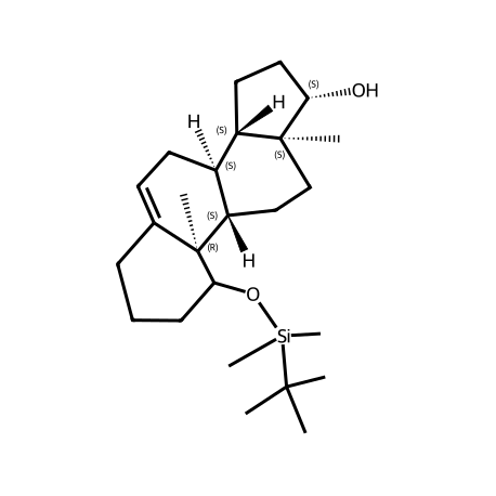 CC(C)(C)[Si](C)(C)OC1CCCC2=CC[C@H]3[C@@H]4CC[C@H](O)[C@@]4(C)CC[C@@H]3[C@]21C